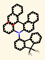 CC1(C)c2ccccc2-c2c(N(c3ccccc3)c3ccc4ccccc4c3-c3cccc4ccccc34)cccc21